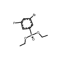 CCOP(=O)(OCC)c1cc(F)cc(Br)c1